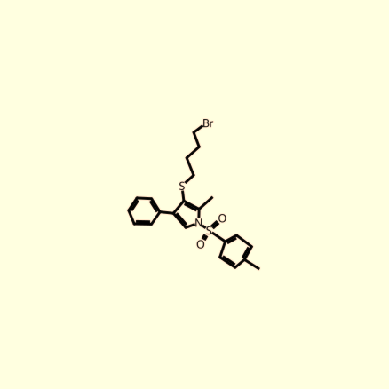 Cc1ccc(S(=O)(=O)n2cc(-c3ccccc3)c(SCCCCBr)c2C)cc1